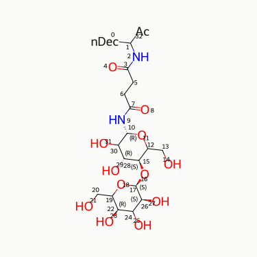 CCCCCCCCCCC(NC(=O)CCC(=O)N[C@@H]1OC(CO)[C@@H](O[C@@H]2OC(CO)[C@H](O)C(O)[C@@H]2O)[C@H](O)C1O)C(C)=O